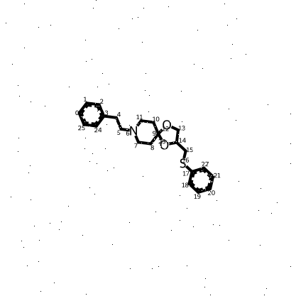 c1ccc(CCN2CCC3(CC2)OCC(CSc2ccccc2)O3)cc1